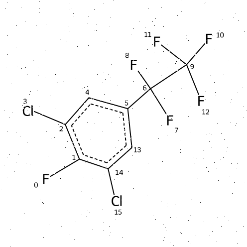 Fc1c(Cl)cc(C(F)(F)C(F)(F)F)cc1Cl